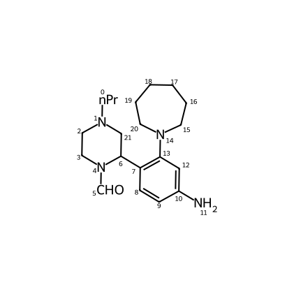 CCCN1CCN(C=O)C(c2ccc(N)cc2N2CCCCCC2)C1